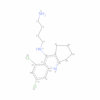 NCCCCNc1c2c(nc3cc(Cl)cc(Cl)c13)CCCC2